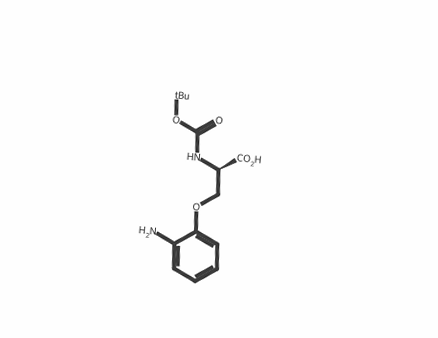 CC(C)(C)OC(=O)N[C@H](COc1ccccc1N)C(=O)O